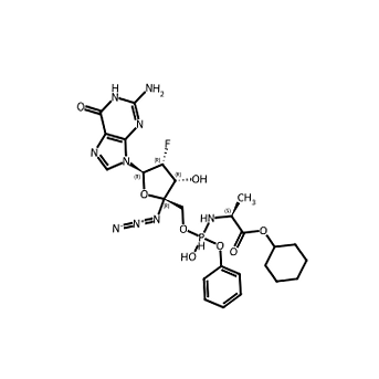 C[C@H](N[PH](O)(OC[C@@]1(N=[N+]=[N-])O[C@@H](n2cnc3c(=O)[nH]c(N)nc32)[C@H](F)[C@@H]1O)Oc1ccccc1)C(=O)OC1CCCCC1